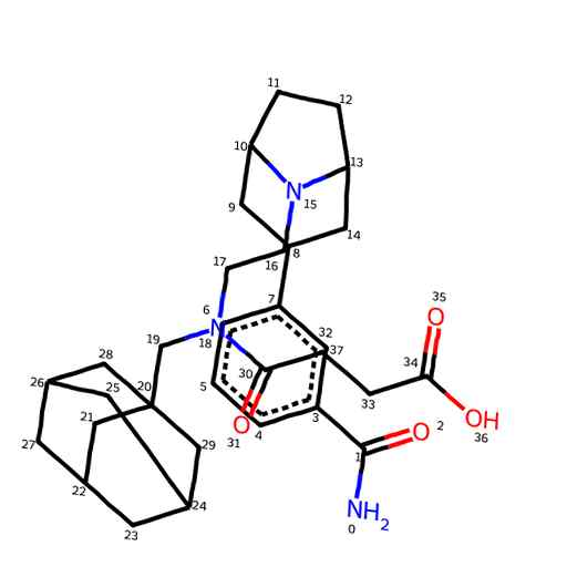 NC(=O)c1cccc(C2CC3CCC(C2)N3CCN(CC23CC4CC(CC(C4)C2)C3)C(=O)CCC(=O)O)c1